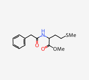 COC(=O)C(CCSC)NC(=O)Cc1ccccc1